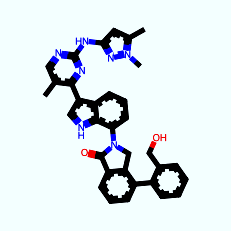 Cc1cnc(Nc2cc(C)n(C)n2)nc1-c1c[nH]c2c(N3Cc4c(cccc4-c4ccccc4CO)C3=O)cccc12